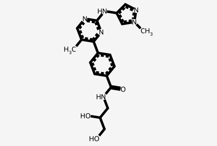 Cc1cnc(Nc2cnn(C)c2)nc1-c1ccc(C(=O)NCC(O)CO)cc1